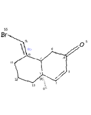 C[C@@]12C=CC(=O)CC1/C(=C/Br)CCC2